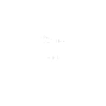 BC1(BC2CCCC(C(=O)C(C)(CCCC)CCCCCC)CCC2)CCCCCCC1